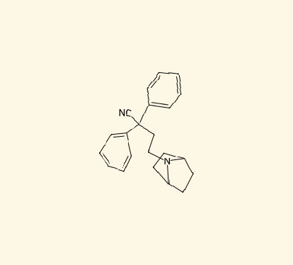 N#CC(CCN1C2CCC1CC2)(c1ccccc1)c1ccccc1